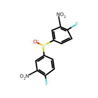 O=[N+]([O-])c1cc([S+]([O-])c2ccc(F)c([N+](=O)[O-])c2)ccc1F